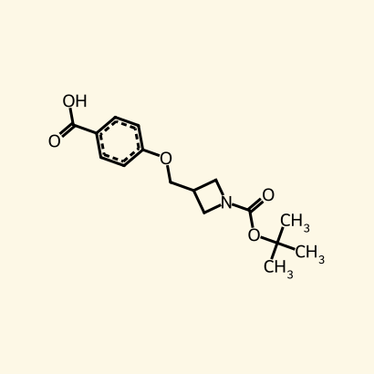 CC(C)(C)OC(=O)N1CC(COc2ccc(C(=O)O)cc2)C1